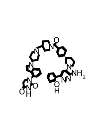 Nc1nnc(-c2ccccc2O)cc1N1CCC[C@@H](c2ccc(C(=O)N3CCC(CN4CCC(n5ccc6c(N7CCC(=O)NC7=O)cccc65)CC4)CC3)cc2)C1